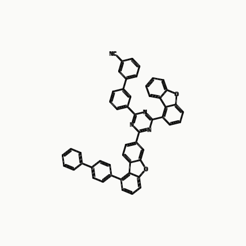 N#Cc1cccc(-c2cccc(-c3nc(-c4ccc5c(c4)oc4cccc(-c6ccc(-c7ccccc7)cc6)c45)nc(-c4cccc5oc6ccccc6c45)n3)c2)c1